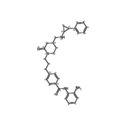 Nc1ccccc1NC(=O)c1ccc(CCCN2CCC(CNC3CC3c3ccccc3)CC2=O)cc1